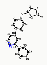 CC1CCC(Cc2ccc(-c3ccnc(-c4ccccc4)c3)cc2)C1